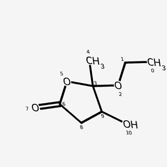 CCOC1(C)OC(=O)CC1O